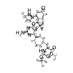 CCOC(=O)[C@H](CC1CC=C(c2cc(O[C@H](c3ccc(Cl)cc3N3C=CC(C)N3)C(F)(F)F)nc(N)n2)CCC1)NC(=O)OC(C)(C)C